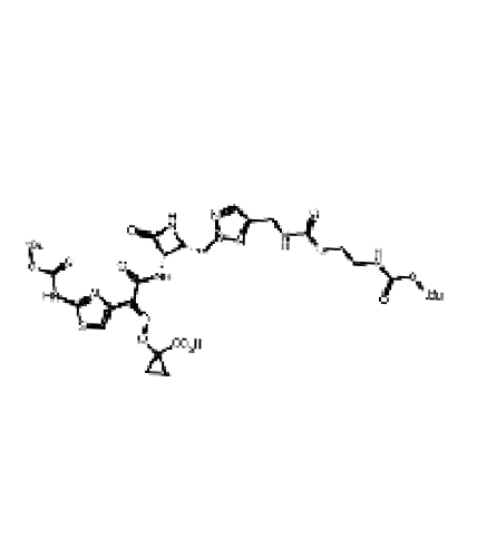 CC(C)(C)OC(=O)NCCOC(=O)NCc1cnn(C[C@H]2NC(=O)[C@H]2NC(=O)C(=NOC2(C(=O)O)CC2)c2csc(NC(=O)OC(C)(C)C)n2)n1